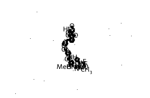 COc1cc(C(=O)NC2CCN(C(=O)C[C@H]3CN(Cc4cccc5c4C(=O)N(C4CCC(=O)NC4=O)C5=O)CCO3)CC2)ccc1Nc1ncc2c(n1)N(C1CCCC1)CC(F)(F)C(=O)N2C